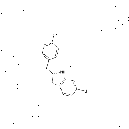 Clc1ccc(Cc2cc3ccc(Cl)cc3[nH]2)cc1